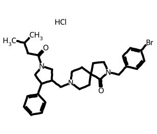 CC(C)CC(=O)N1CC(CN2CCC3(CC2)CCN(Cc2ccc(Br)cc2)C3=O)C(c2ccccc2)C1.Cl